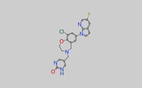 O=c1ncc(CN2CCOc3c(Cl)cc(-n4ccc5cc(F)cnc54)cc3C2)c[nH]1